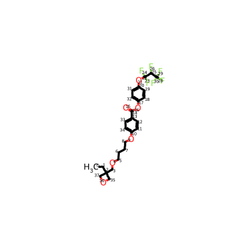 CCC1(COCCCCOc2ccc(C(=O)Oc3ccc(OC(F)(F)C(F)C(F)(F)F)cc3)cc2)COC1